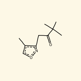 Cc1conc1CC(=O)C(C)(C)C